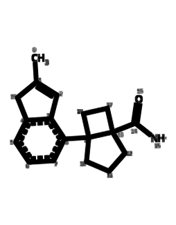 CC1=Cc2c(cccc2C23CCCC2(C([NH])=O)CC3)C1